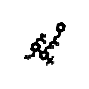 COc1ccc(CC(=O)O)cc1-c1ccc(C(F)(F)F)cc1CNCC(=O)OCc1ccccc1